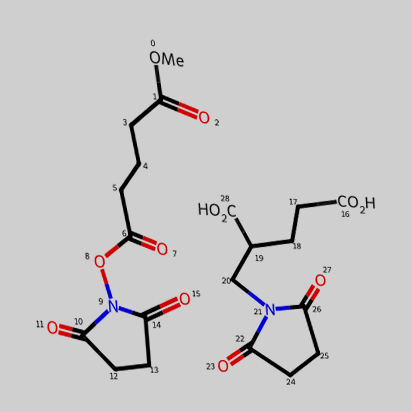 COC(=O)CCCC(=O)ON1C(=O)CCC1=O.O=C(O)CCC(CN1C(=O)CCC1=O)C(=O)O